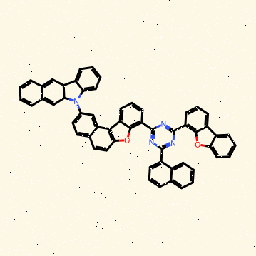 C1=c2ccccc2=CC2C1c1ccccc1N2c1ccc2ccc3oc4c(-c5nc(-c6cccc7ccccc67)nc(-c6cccc7c6oc6ccccc67)n5)cccc4c3c2c1